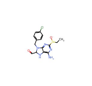 CC[S+]([O-])c1nc(N)c2c(n1)N(Cc1ccc(Cl)cc1)C(C=O)N2